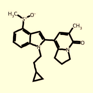 Cc1cc(-c2cc3c([S+](C)[O-])cccc3n2CCC2CC2)c2n(c1=O)CCC2